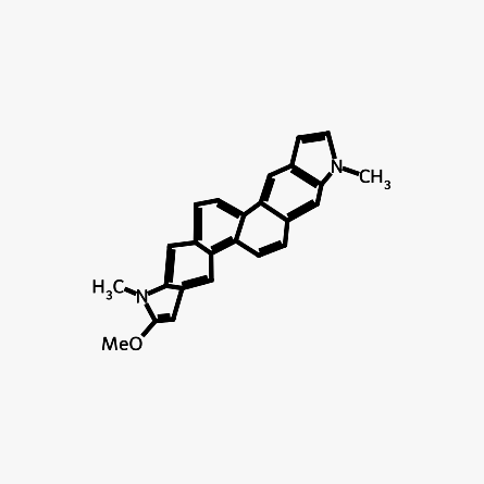 COc1cc2cc3c(ccc4c5cc6ccn(C)c6cc5ccc34)cc2n1C